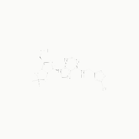 CC1(C)OC2C(O1)[C@@H](CO)O[C@H]2n1cnc2c(NCc3ccc(Br)s3)ncnc21